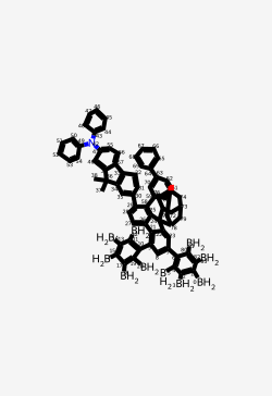 Bc1c(B)c(B)c(-c2cc(-c3c(B)c(B)c(B)c(B)c3B)c3c(c2)C2(c4c-3ccc(-c3ccc5c(c3)C(C)(C)c3cc(N(c6ccccc6)c6ccccc6)ccc3-5)c4-c3cccc(-c4ccccc4)c3)C3CC4CC(C3)CC2C4)c(B)c1B